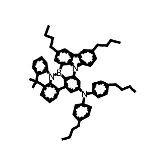 CCCCc1ccc(N(c2ccc(CCCC)cc2)c2cc3c4c(c2)-n2c5ccc(CCCC)cc5c5cc(CCCC)cc(c52)B4N2c4ccccc4C(C)(C)c4cccc-3c42)cc1